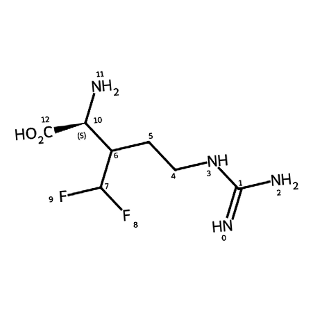 N=C(N)NCCC(C(F)F)[C@H](N)C(=O)O